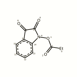 CCC(=O)ON1C(=O)C(=O)c2ccccc21